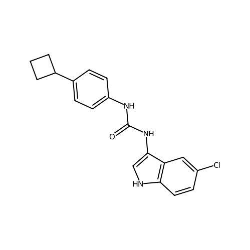 O=C(Nc1ccc(C2CCC2)cc1)Nc1c[nH]c2ccc(Cl)cc12